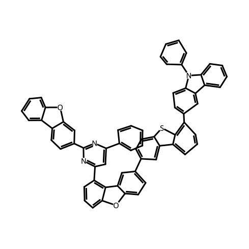 c1ccc(-c2cc(-c3cccc4oc5ccc(-c6ccc7sc8c(-c9ccc%10c(c9)c9ccccc9n%10-c9ccccc9)cccc8c7c6)cc5c34)nc(-c3ccc4c(c3)oc3ccccc34)n2)cc1